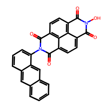 O=C1c2ccc3c4c(ccc(c24)C(=O)N1O)C(=O)N(c1cccc2cc4ccccc4cc12)C3=O